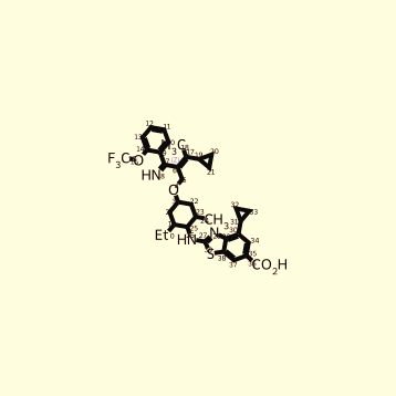 CCC1CC(OC/C(C(=N)c2ccccc2OC(F)(F)F)=C(/C)C2CC2)CC(C)C1Nc1nc2c(C3CC3)cc(C(=O)O)cc2s1